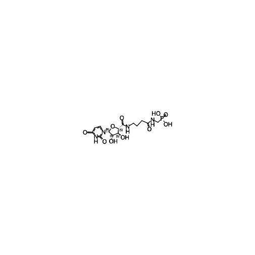 O=C(CCCNC(=O)[C@H]1O[C@@H](n2ccc(=O)[nH]c2=O)[C@@H](O)[C@@H]1O)NCP(=O)(O)O